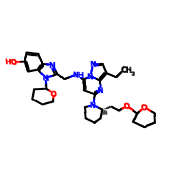 CCc1cnn2c(NCc3nc4ccc(O)cc4n3C3CCCCO3)cc(N3CCCC[C@H]3CCOC3CCCCO3)nc12